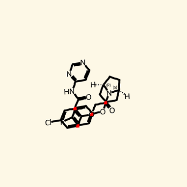 O=C(Nc1ccncn1)c1cc(Cl)ccc1OCC(=O)N1[C@@H]2CC[C@H]1CC(Oc1ccc(F)cc1)C2